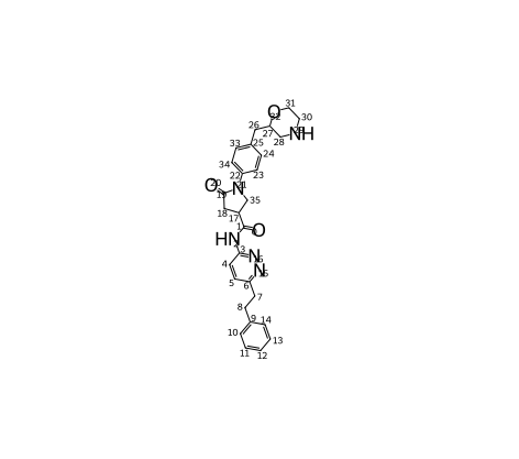 O=C(Nc1ccc(CCc2ccccc2)nn1)C1CC(=O)N(c2ccc(CC3CNCCO3)cc2)C1